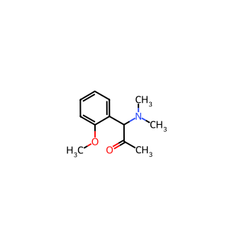 COc1ccccc1C(C(C)=O)N(C)C